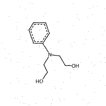 OCCN(CCO)c1c[c]ccc1